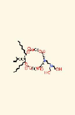 CCCCCCCC1CC(=C=C=C(C)CC)C(CCCCCCC)OC(=O)OCCOC(=O)CCN(CCCN(CCO)CCO)CCC(=O)OCCOC(=O)O1